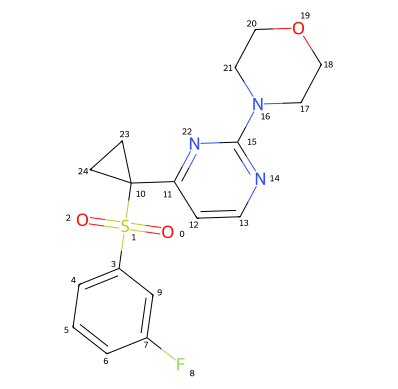 O=S(=O)(c1cccc(F)c1)C1(c2ccnc(N3CCOCC3)n2)CC1